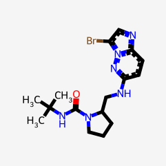 CC(C)(C)NC(=O)N1CCCC1CNc1ccc2ncc(Br)n2n1